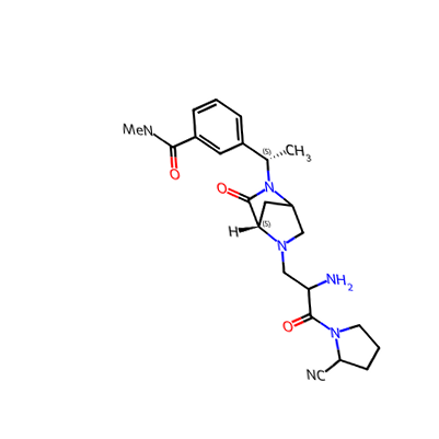 CNC(=O)c1cccc([C@H](C)N2C(=O)[C@@H]3CC2CN3CC(N)C(=O)N2CCCC2C#N)c1